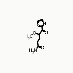 COC(CCC(N)=O)C(=O)c1nccs1